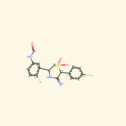 N=C1NC(c2cc(NC=O)ccc2F)CS(=O)(=O)C1c1ccc(F)cc1